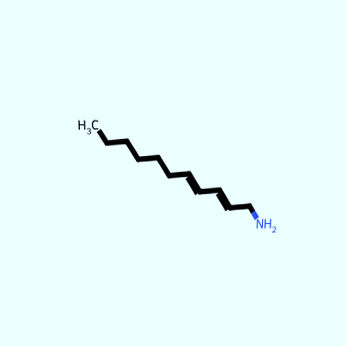 CCCCCC/C=C/C=C/CN